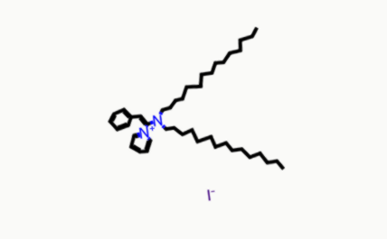 CCCCCCCCCCCCCCCN(CCCCCCCCCCCCCCC)C(=Cc1ccccc1)[n+]1ccccc1.[I-]